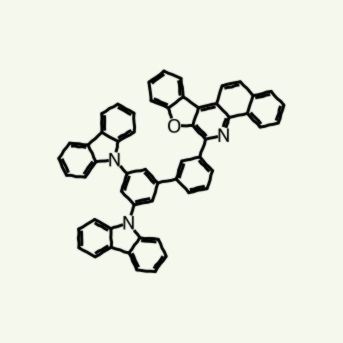 c1cc(-c2cc(-n3c4ccccc4c4ccccc43)cc(-n3c4ccccc4c4ccccc43)c2)cc(-c2nc3c4ccccc4ccc3c3c2oc2ccccc23)c1